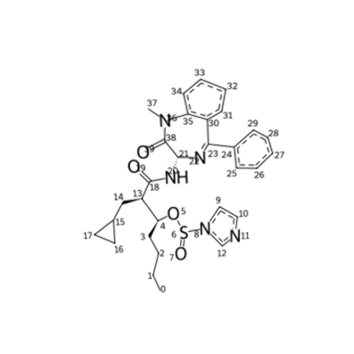 CCCC[C@H](OS(=O)n1ccnc1)[C@@H](CC1CC1)C(=O)N[C@H]1N=C(c2ccccc2)c2ccccc2N(C)C1=O